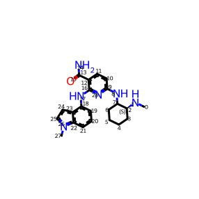 CN[C@H]1CCCCC1Nc1ccc(C(N)=O)c(Nc2cccc3c2ccn3C)n1